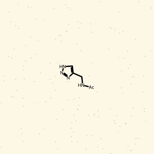 CC(=O)NCc1c[nH]nn1